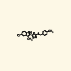 Cc1ccc(CSc2nnc(-c3[nH]c4ccc(Cl)cc4c3C)o2)cc1